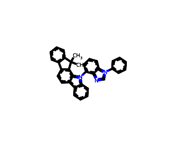 CC1(C)c2ccccc2-c2ccc3c4ccccc4n(-c4cccc5c4ncn5-c4ccccc4)c3c21